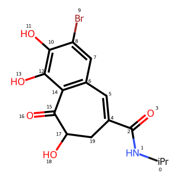 CC(C)NC(=O)C1=Cc2cc(Br)c(O)c(O)c2C(=O)C(O)C1